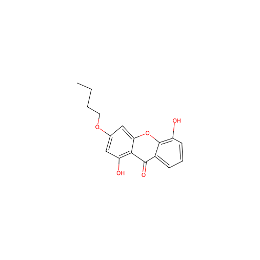 CCCCOc1cc(O)c2c(=O)c3cccc(O)c3oc2c1